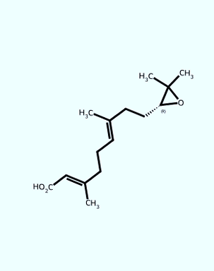 CC(=CC(=O)O)CCC=C(C)CC[C@H]1OC1(C)C